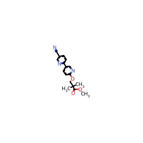 COC(=O)C(C)(C)COc1ccc(-c2ccc(C#N)cn2)cn1